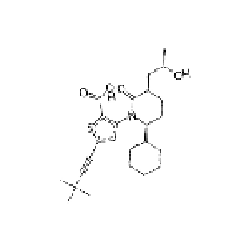 C[C@@H](O)C[C@H]1CC[C@@H](C2CCCCC2)N(c2cc(C#CC(C)(C)C)sc2C(=O)O)C1=O